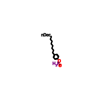 CCCCCCCCCCCCCCCCCCc1ccc(O[PH2]=O)cc1